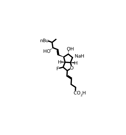 CCCCC(C)[C@@H](O)/C=C/[C@@H]1[C@H]2C(F)C(/C=C/CCC(=O)O)O[C@H]2C[C@H]1O.[NaH]